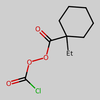 CCC1(C(=O)OOC(=O)Cl)CCCCC1